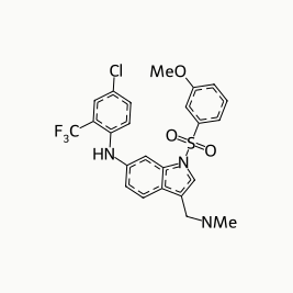 CNCc1cn(S(=O)(=O)c2cccc(OC)c2)c2cc(Nc3ccc(Cl)cc3C(F)(F)F)ccc12